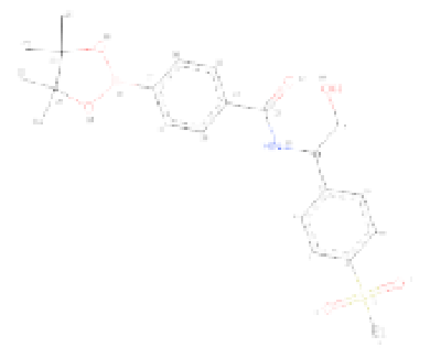 CCS(=O)(=O)c1ccc(C(CO)NC(=O)c2ccc(B3OC(C)(C)C(C)(C)O3)cc2)cc1